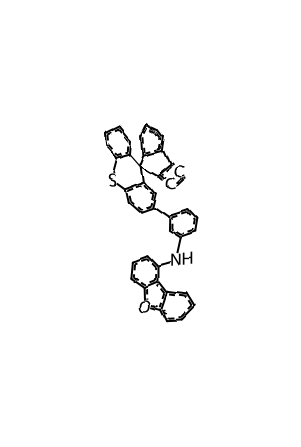 c1cc(Nc2cccc3oc4ccccc4c23)cc(-c2ccc3c(c2)C2(c4ccccc4S3)c3ccccc3-c3ccccc32)c1